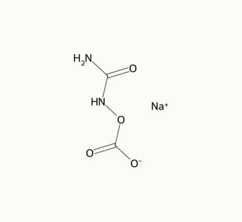 NC(=O)NOC(=O)[O-].[Na+]